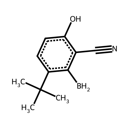 Bc1c(C(C)(C)C)ccc(O)c1C#N